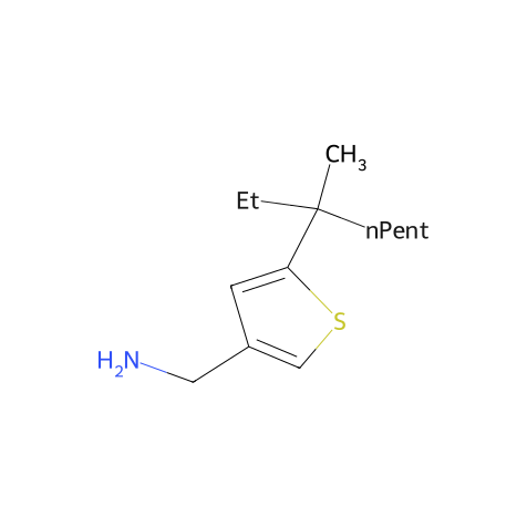 CCCCCC(C)(CC)c1cc(CN)cs1